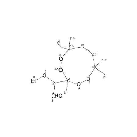 CCOC(C=O)C1(C)OOC(C)(C)CCC(C)(C)OO1